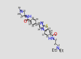 CCN(CC)CCCNC(=O)c1ccc2c(c1)sc1nc(-c3ccc(C(=O)NC4CCN(C)C4)cc3)cn12